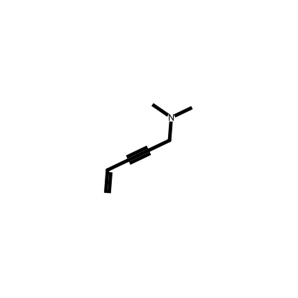 C=CC#CCN(C)C